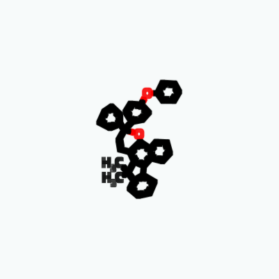 CC1(C)c2ccccc2-c2c1c1c(c3ccccc23)OC(c2ccccc2)(c2ccc(Oc3ccccc3)cc2)C=C1